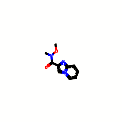 CON(C)C(=O)c1cn2ccccc2n1